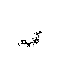 CC1(C)C(C(=O)Nc2ccc(F)c(CNC(=O)C3CC3)c2F)C1c1ccc(F)c(Cl)c1